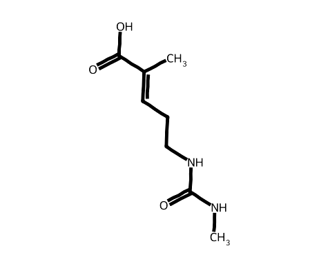 CNC(=O)NCC/C=C(\C)C(=O)O